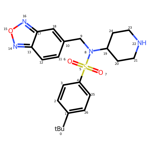 CC(C)(C)c1ccc(S(=O)(=O)N(Cc2ccc3nonc3c2)C2CCNCC2)cc1